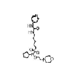 O=C(NCCCCCS(=O)(=O)N(OCCN1CCOCC1)C1CCCC1)Nc1ccncc1